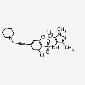 Cc1nn(C)c(C)c1NS(=O)(=O)c1c(Cl)cc(C#CCN2CCCCC2)cc1Cl